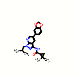 CC(C)Cn1nc(NC(=O)C2CC2(C)C)c2cc(-c3ccc4c(c3)OCO4)cnc21